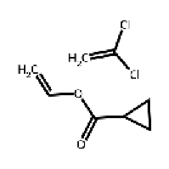 C=C(Cl)Cl.C=COC(=O)C1CC1